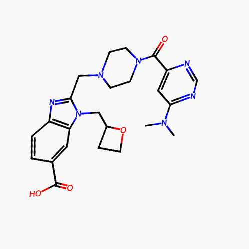 CN(C)c1cc(C(=O)N2CCN(Cc3nc4ccc(C(=O)O)cc4n3CC3CCO3)CC2)ncn1